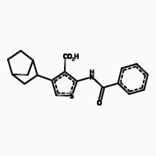 O=C(Nc1scc(C2CC3CCC2C3)c1C(=O)O)c1ccccc1